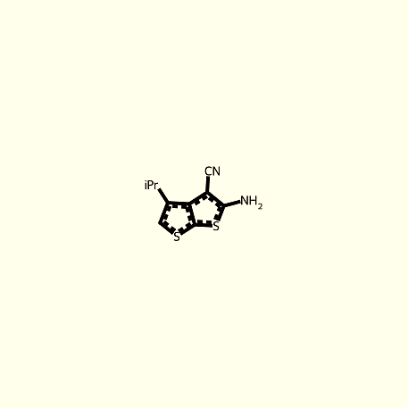 CC(C)c1csc2sc(N)c(C#N)c12